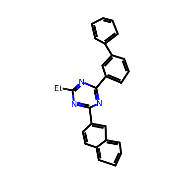 CCc1nc(-c2cccc(-c3ccccc3)c2)nc(-c2ccc3ccccc3c2)n1